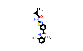 Cc1cccc(C)c1NC(=O)c1ccc2nc(NC(=O)C3CC3C)sc2c1